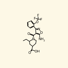 CCC1CC(C(=O)O)CCN1C(=O)c1c(-c2ccccc2OC(F)(F)F)noc1N